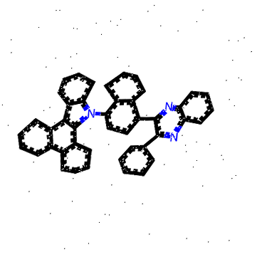 c1ccc(-c2nc3ccccc3nc2-c2ccc(-n3c4ccccc4c4c5ccccc5c5ccccc5c43)c3ccccc23)cc1